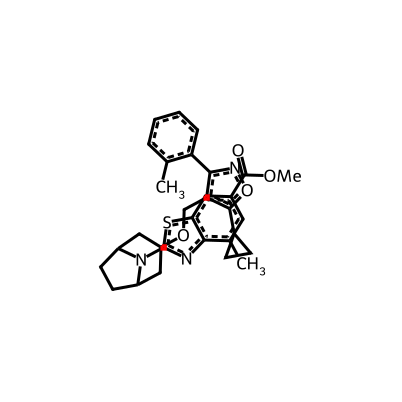 COC(=O)c1cc(C)c2nc(N3C4CCC3CC(OCc3c(-c5ccccc5C)noc3C3CC3)C4)sc2c1